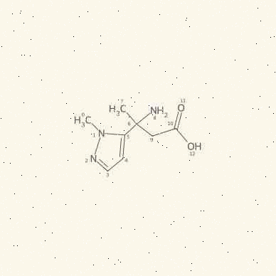 Cn1nccc1C(C)(N)CC(=O)O